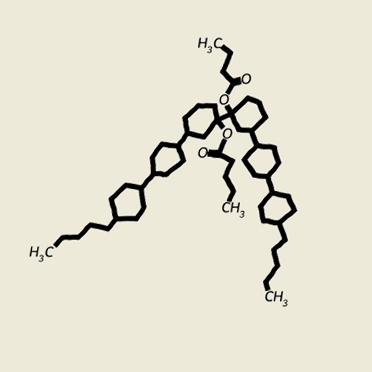 CCCCCC1CCC(C2CCC(C3CCCC(OC(=O)CCC)(C4(OC(=O)CCCC)CCCC(C5CCC(C6CCC(CCCCC)CC6)CC5)C4)C3)CC2)CC1